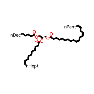 CCCCC/C=C\C/C=C\C/C=C\CCCCCCCCC(=O)OC[C@@H](COC(=O)CCCCCCCCCCCCCC)OC(=O)CCCCCCC/C=C\CCCCCCC